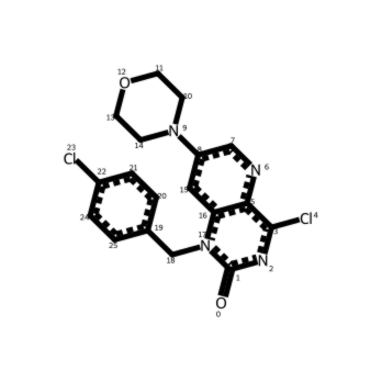 O=c1nc(Cl)c2ncc(N3CCOCC3)cc2n1Cc1ccc(Cl)cc1